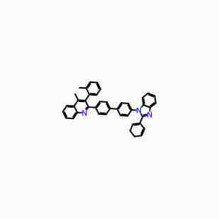 Cc1ccccc1-c1c(-c2ccc(-c3ccc(-n4c(C5=CCCC=C5)nc5ccccc54)cc3)cc2)nc2ccccc2c1C